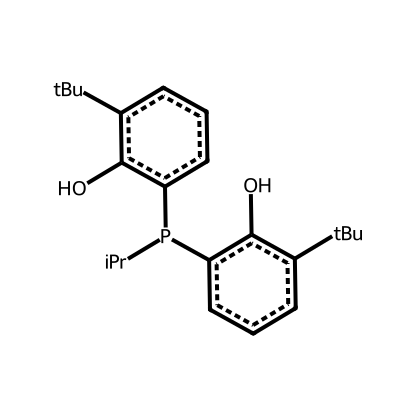 CC(C)P(c1cccc(C(C)(C)C)c1O)c1cccc(C(C)(C)C)c1O